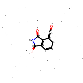 O=C=C1CC=CC2=C1C(=O)[N]C2=O